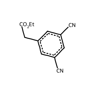 CCOC(=O)Cc1cc(C#N)cc(C#N)c1